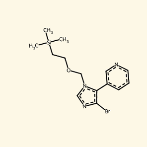 C[Si](C)(C)CCOCn1cnc(Br)c1-c1cccnc1